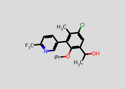 Cc1c(Cl)cc(C(C)O)c(OC(C)C)c1-c1ccc(C(F)(F)F)nc1